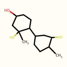 CC1CCC(C2CCC(O)CC2(C)S)CC1S